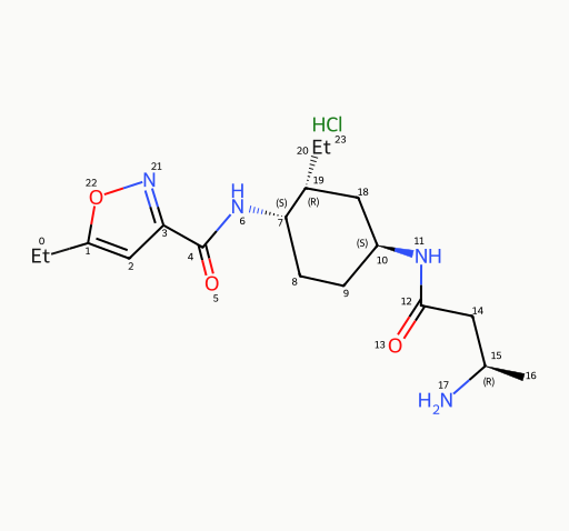 CCc1cc(C(=O)N[C@H]2CC[C@H](NC(=O)C[C@@H](C)N)C[C@H]2CC)no1.Cl